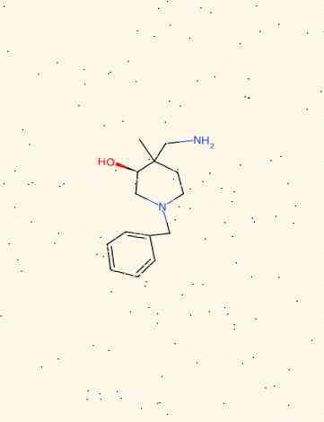 CC1(CN)CCN(Cc2ccccc2)C[C@H]1O